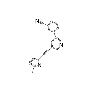 Cc1nc(C#Cc2cncc(-c3cccc(C#N)c3)c2)cs1